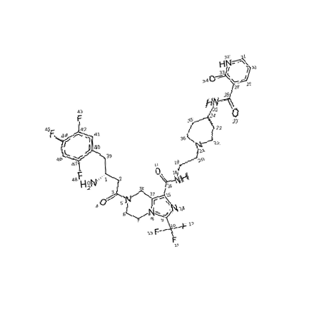 N[C@@H](CC(=O)N1CCn2c(C(F)(F)F)nc(C(=O)NCCN3CCC(NC(=O)c4ccc[nH]c4=O)CC3)c2C1)Cc1cc(F)c(F)cc1F